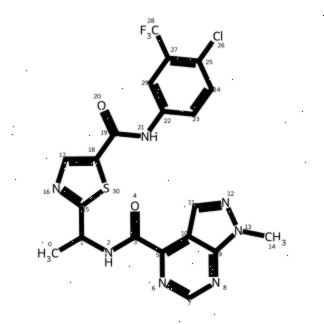 CC(NC(=O)c1ncnc2c1cnn2C)c1ncc(C(=O)Nc2ccc(Cl)c(C(F)(F)F)c2)s1